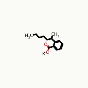 CCCCCC(C)c1ccccc1C(=O)[O-].[K+]